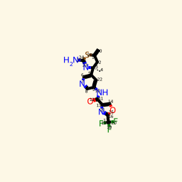 C=C1C[C@@](C)(c2cncc(NC(=O)c3coc(C(F)(F)F)n3)c2)N=C(N)S1